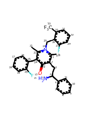 Cc1c(CC(N)c2ccccc2)c(=O)c(-c2ccccc2F)c(C)n1Cc1c(F)cccc1C(F)(F)F